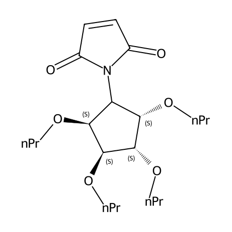 CCCO[C@@H]1[C@@H](OCCC)[C@@H](OCCC)C(N2C(=O)C=CC2=O)[C@@H]1OCCC